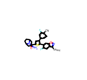 CCCCCc1noc2cc(-c3sc(C(=O)N4C5CCC4CC(N)C5)cc3-c3ccc(C#N)c(F)c3)c(F)cc12